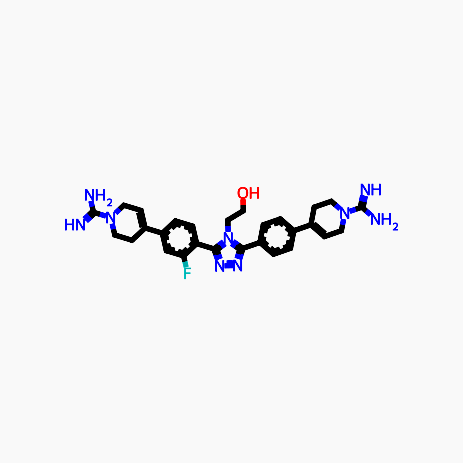 N=C(N)N1CC=C(c2ccc(-c3nnc(-c4ccc(C5=CCN(C(=N)N)CC5)cc4F)n3CCO)cc2)CC1